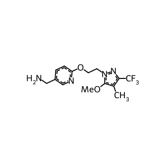 COc1c(C)c(C(F)(F)F)nn1CCOc1ccc(CN)cn1